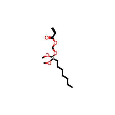 C=CC(=O)OCO[Si](CCCCCCC)(OC)OC